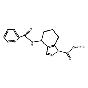 CC(C)(C)OC(=O)n1ncc2c1CCCC2NC(=O)c1ccccn1